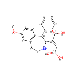 COc1ccc2c(c1)CCNC(/C(=C\C(=O)O)C(=O)O)C2c1ccccc1